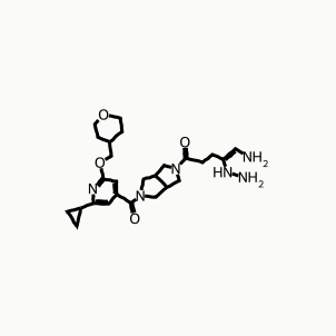 N/C=C(/CCC(=O)N1CC2CN(C(=O)c3cc(OCC4CCOCC4)nc(C4CC4)c3)CC2C1)NN